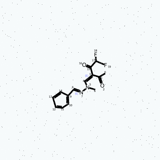 CC(=O)/C(=C\N(C)/N=C/c1ccccc1)C(=O)C(F)F